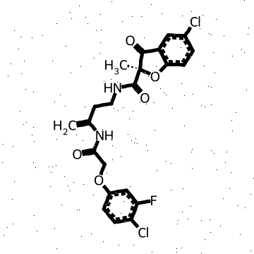 C=C(CCNC(=O)[C@]1(C)Oc2ccc(Cl)cc2C1=O)NC(=O)COc1ccc(Cl)c(F)c1